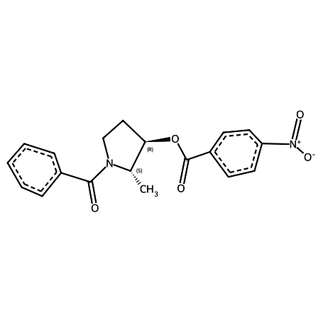 C[C@H]1[C@H](OC(=O)c2ccc([N+](=O)[O-])cc2)CCN1C(=O)c1ccccc1